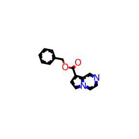 O=C(OCc1ccccc1)c1ccn2ccncc12